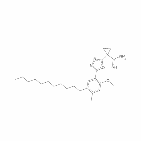 CCCCCCCCCCCc1cc(-c2nnc(C3(C(=N)N)CC3)o2)c(OC)cc1C